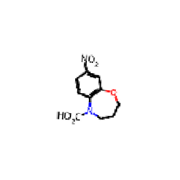 O=C(O)N1CCCOc2cc([N+](=O)[O-])ccc21